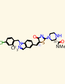 CNC(=O)[C@@H]1CN(C2=NC(=O)/C(=C\c3ccc4c(cnn4Cc4ccc(Cl)cc4C(F)(F)F)c3)S2)CCN1